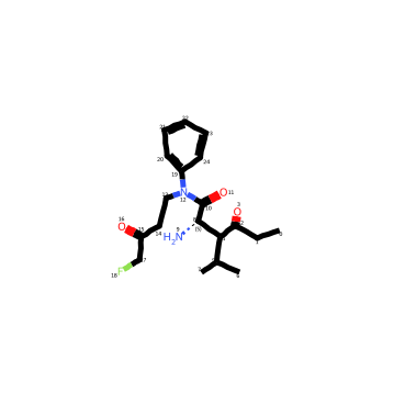 CCC(=O)C(C(C)C)[C@H](N)C(=O)N(CCC(=O)CF)c1ccccc1